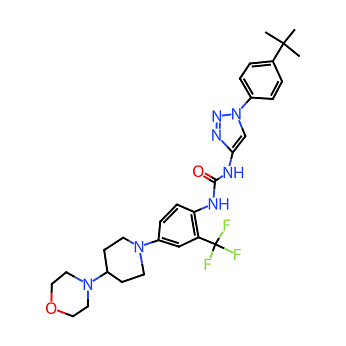 CC(C)(C)c1ccc(-n2cc(NC(=O)Nc3ccc(N4CCC(N5CCOCC5)CC4)cc3C(F)(F)F)nn2)cc1